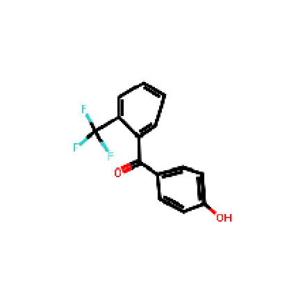 O=C(c1ccc(O)cc1)c1ccccc1C(F)(F)F